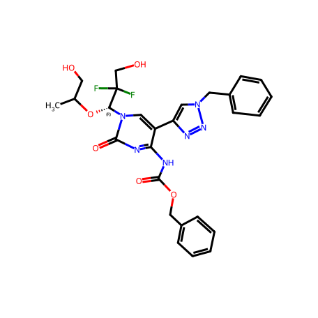 CC(CO)O[C@@H](n1cc(-c2cn(Cc3ccccc3)nn2)c(NC(=O)OCc2ccccc2)nc1=O)C(F)(F)CO